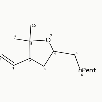 C=CC1CC(CCCCCC)OC1(C)C